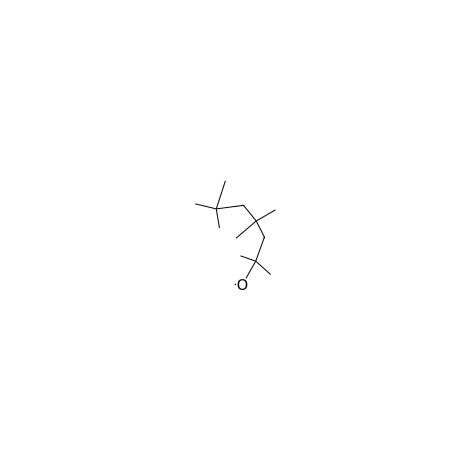 CC(C)(C)CC(C)(C)CC(C)(C)[O]